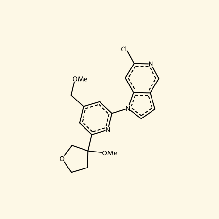 COCc1cc(-n2ccc3cnc(Cl)cc32)nc(C2(OC)CCOC2)c1